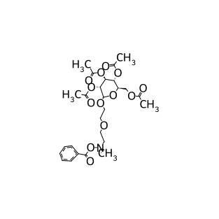 CC(=O)OC[C@H]1O[C@@H](OCCOCCN(C)OC(=O)c2ccccc2)[C@H](OC(C)=O)[C@@H](OC(C)=O)[C@@H]1OC(C)=O